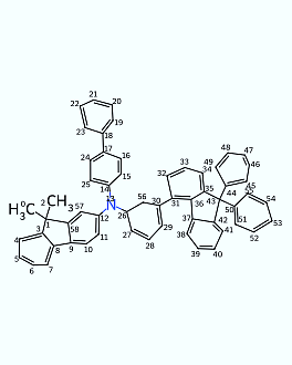 CC1(C)c2ccccc2-c2ccc(N(c3ccc(-c4ccccc4)cc3)C3C=CC=C(c4cccc5c4-c4ccccc4C5(c4ccccc4)c4ccccc4)C3)cc21